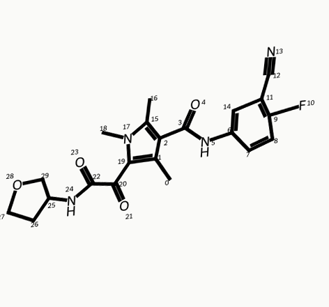 Cc1c(C(=O)Nc2ccc(F)c(C#N)c2)c(C)n(C)c1C(=O)C(=O)NC1CCOC1